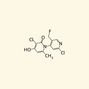 Cc1cc(O)c(Cl)c(=O)n1-c1cc(Cl)ncc1CF